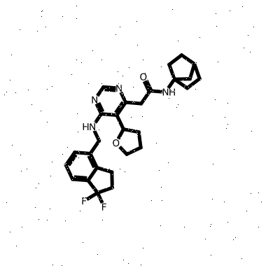 O=C(Cc1ncnc(NCc2cccc3c2CCC3(F)F)c1C1CCCO1)NC12CCC(CC1)C2